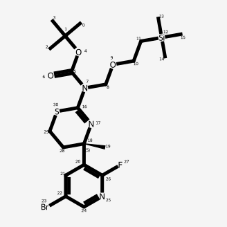 CC(C)(C)OC(=O)N(COCC[Si](C)(C)C)C1=N[C@](C)(c2cc(Br)cnc2F)CCS1